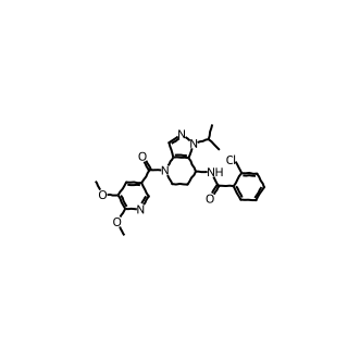 COc1cc(C(=O)N2CCC(NC(=O)c3ccccc3Cl)c3c2cnn3C(C)C)cnc1OC